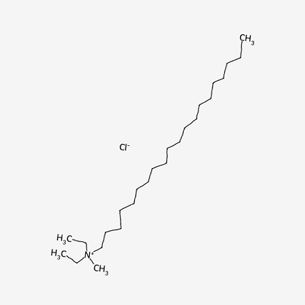 CCCCCCCCCCCCCCCCCCCC[N+](C)(CC)CC.[Cl-]